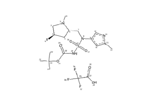 CN1C[C@H](F)C[C@H]1CN(c1cnn(C)c1)S(=O)(=O)NC(=O)OC(C)(C)C.O=C(O)C(F)(F)F